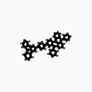 c1ccc(N2c3ccccc3B3c4ccc(-c5ccc(-c6cc7c8ccccc8n8c9ccccc9c(c6)c78)cc5)cc4N(c4ccccc4)c4cccc2c43)cc1